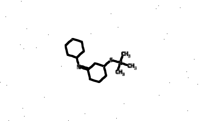 C[Si](C)(C)SC1CCCC(=NC2CCCCC2)C1